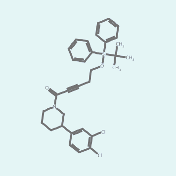 CC(C)(C)[Si](OCCC#CC(=O)N1CCCC(c2ccc(Cl)c(Cl)c2)C1)(c1ccccc1)c1ccccc1